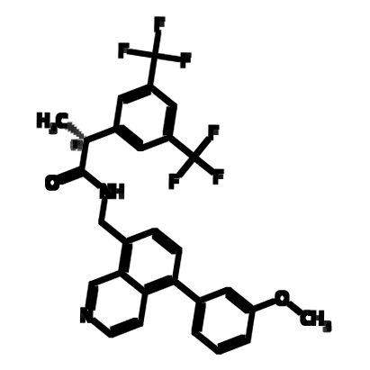 COc1cccc(-c2ccc(CNC(=O)[C@H](C)c3cc(C(F)(F)F)cc(C(F)(F)F)c3)c3cnccc23)c1